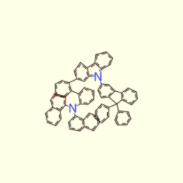 c1ccc(C2(c3ccccc3)c3ccccc3-c3cc(-n4c5ccccc5c5ccc(-c6ccccc6-c6ccccc6N(c6cccc7ccccc67)c6cccc7ccccc67)cc54)ccc32)cc1